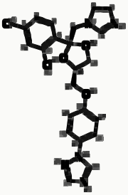 Clc1ccc([C@]2(Cn3ccnc3)OC[C@@H](COc3ccc(-n4cncn4)cc3)O2)c(Cl)c1